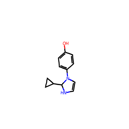 Oc1ccc(N2C=CNC2C2CC2)cc1